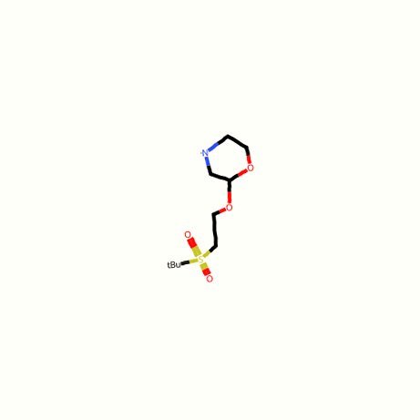 CC(C)(C)S(=O)(=O)CCOC1C[N]CCO1